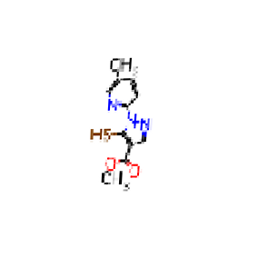 COC(=O)c1cnn(-c2ccc(C)cn2)c1S